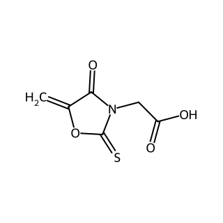 C=C1OC(=S)N(CC(=O)O)C1=O